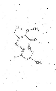 CCc1nc2c(F)cc(C)cn2c(=O)c1OC